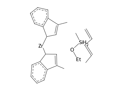 C=CC=CC.CC1=C[CH]([Zr][CH]2C=C(C)c3ccccc32)c2ccccc21.CCO[SiH2]C